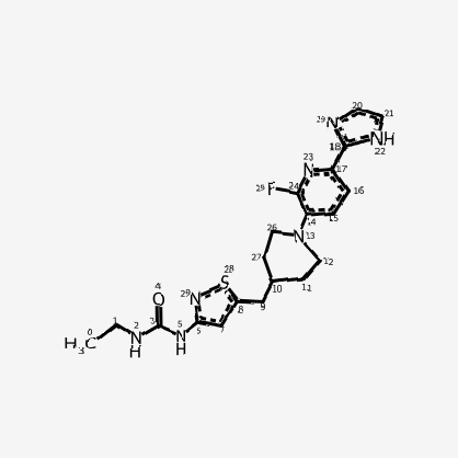 CCNC(=O)Nc1cc(CC2CCN(c3ccc(-c4ncc[nH]4)nc3F)CC2)sn1